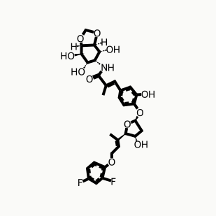 CC(=Cc1ccc(O[C@H]2C[C@H](O)[C@@H](C(C)=CCOc3ccc(F)cc3F)O2)c(O)c1)C(=O)N[C@@H]1[C@H](O)[C@@H](O)[C@H]2OCO[C@H]2[C@@H]1O